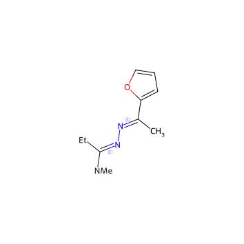 CC/C(=N\N=C(/C)c1ccco1)NC